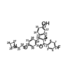 O=C(c1ccc(F)cc1)c1sc2cc(O)ccc2c1-c1ccc(OCCN2CCC2)cc1